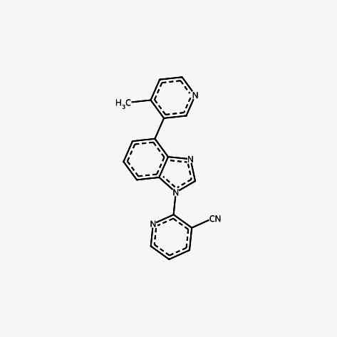 Cc1ccncc1-c1cccc2c1ncn2-c1ncccc1C#N